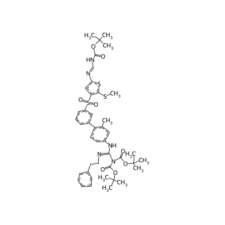 CSc1sc(N=CNC(=O)OC(C)(C)C)cc1S(=O)(=O)c1cccc(-c2ccc(NC(=NCCc3ccccc3)N(C(=O)OC(C)(C)C)C(=O)OC(C)(C)C)cc2C)c1